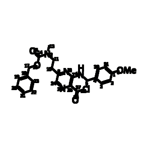 COc1ccc(CNc2nc(CCN(C)C(=O)OCc3ccccc3)cnc2C(=O)Cl)cc1